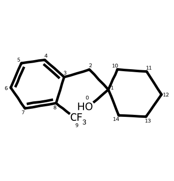 OC1(Cc2ccccc2C(F)(F)F)CCCCC1